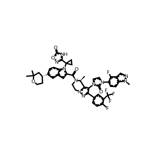 C[C@H]1c2c(-n3ccn(-c4ccc5c(cnn5C)c4F)c3=O)c(-c3ccc(F)c(C(F)(F)F)c3)nn2CCN1C(=O)c1cc2cc([C@@H]3CCOC(C)(C)C3)ccc2n1C1(c2noc(=O)[nH]2)CC1